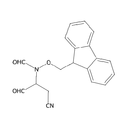 N#CCC(C=O)N(C=O)OCC1c2ccccc2-c2ccccc21